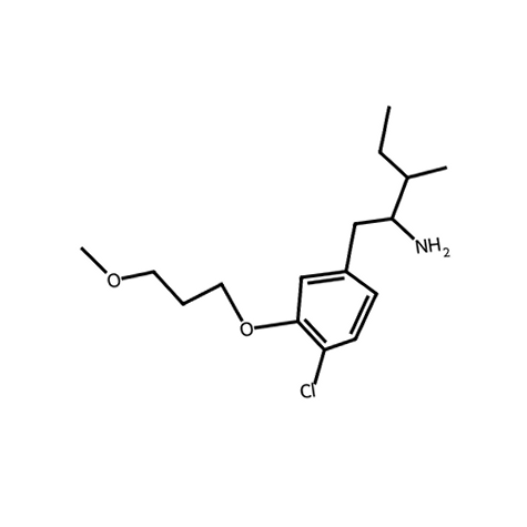 CCC(C)C(N)Cc1ccc(Cl)c(OCCCOC)c1